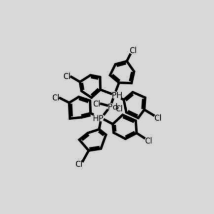 Clc1ccc([PH](c2ccc(Cl)cc2)(c2ccc(Cl)cc2)[Pd]([Cl])([Cl])[PH](c2ccc(Cl)cc2)(c2ccc(Cl)cc2)c2ccc(Cl)cc2)cc1